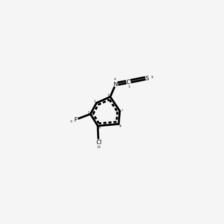 Fc1cc(N=C=S)ccc1Cl